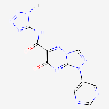 Cn1nnnc1NC(=O)c1nn2cnn(-c3cncnc3)c2nc1=O